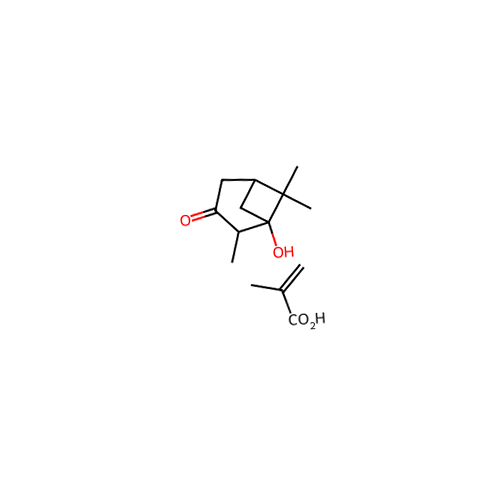 C=C(C)C(=O)O.CC1C(=O)CC2CC1(O)C2(C)C